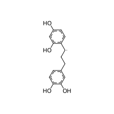 Oc1ccc([CH]CCc2ccc(O)c(O)c2)c(O)c1